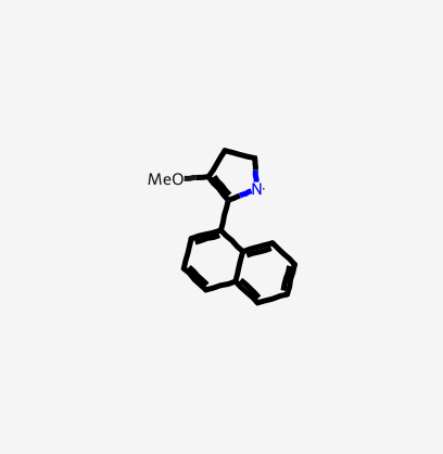 COC1=C(c2cccc3ccccc23)[N]CC1